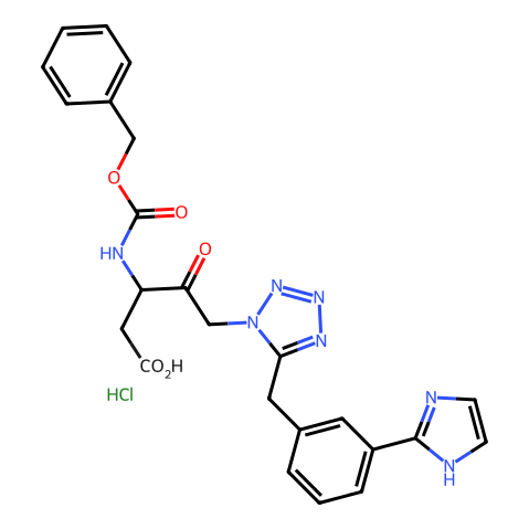 Cl.O=C(O)CC(NC(=O)OCc1ccccc1)C(=O)Cn1nnnc1Cc1cccc(-c2ncc[nH]2)c1